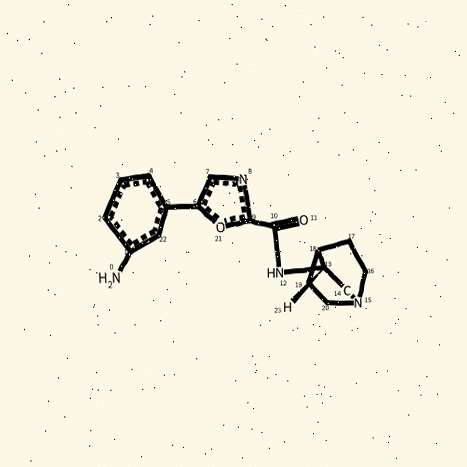 Nc1cccc(-c2cnc(C(=O)N[C@H]3CN4CCC3CC4)o2)c1